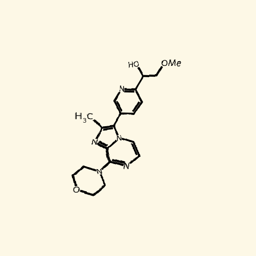 COCC(O)c1ccc(-c2c(C)nc3c(N4CCOCC4)nccn23)cn1